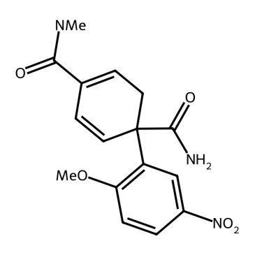 CNC(=O)C1=CCC(C(N)=O)(c2cc([N+](=O)[O-])ccc2OC)C=C1